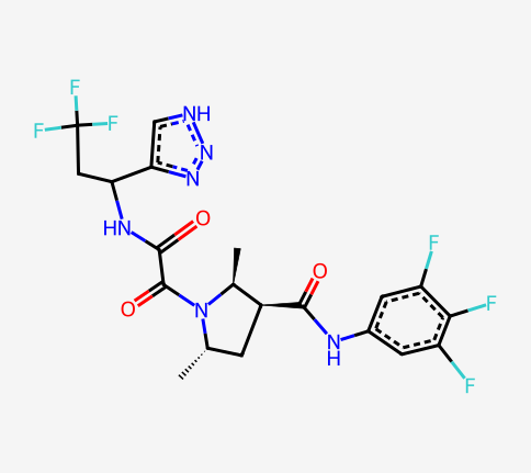 C[C@H]1C[C@H](C(=O)Nc2cc(F)c(F)c(F)c2)[C@H](C)N1C(=O)C(=O)NC(CC(F)(F)F)c1c[nH]nn1